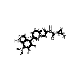 Cc1c(F)c(N(C)C)c2[nH]ncc2c1-c1ccc2nc(NC(=O)[C@@H]3C[C@@H]3F)cn2n1